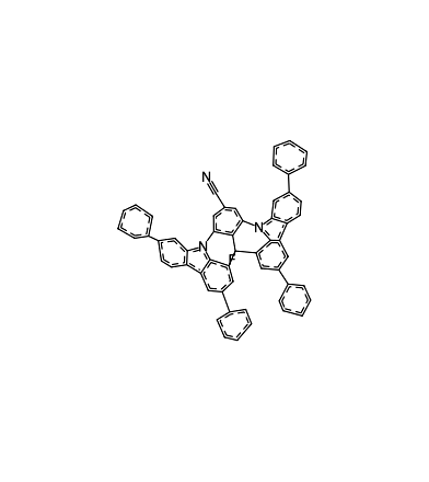 N#Cc1cc2c3c(c1)-n1c4cc(-c5ccccc5)ccc4c4cc(-c5ccccc5)cc(c41)C3(F)c1cc(-c3ccccc3)cc3c4ccc(-c5ccccc5)cc4n-2c13